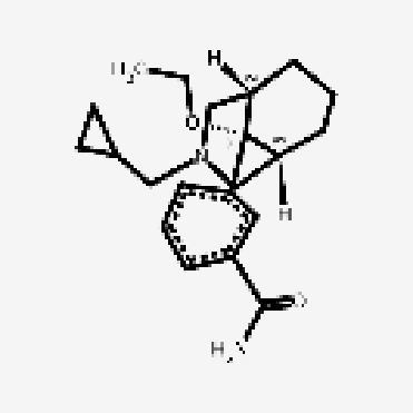 CCO[C@@]1(c2cccc(C(N)=O)c2)[C@@H]2CCC[C@H]1CN(CC1CC1)C2